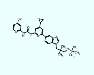 CC(C)(CO[Si](C)(C)C(C)(C)C)Cn1cnc2cc(-c3cc(C4CC4)cc(OC(=O)Nc4cc(C#N)ccn4)n3)ccc21